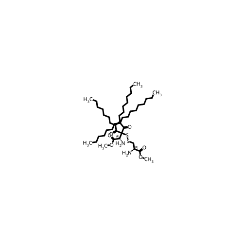 CCCCCCCCCC(CCCCCCC)C(=O)C(SSC[C@H](N)C(=O)OC)(C(=O)C(CCCCCCC)CCCCCCCCC)[C@H](N)C(=O)OC